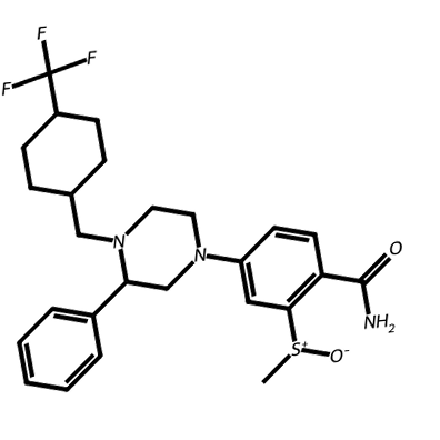 C[S+]([O-])c1cc(N2CCN(CC3CCC(C(F)(F)F)CC3)C(c3ccccc3)C2)ccc1C(N)=O